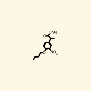 C/C=C/COc1ccc(C(C)C(=O)OC)cc1[N+](=O)[O-]